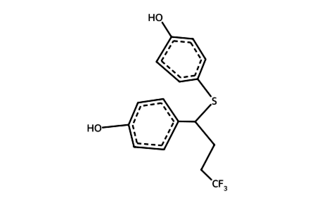 Oc1ccc(SC(CCC(F)(F)F)c2ccc(O)cc2)cc1